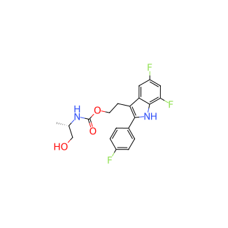 C[C@@H](CO)NC(=O)OCCc1c(-c2ccc(F)cc2)[nH]c2c(F)cc(F)cc12